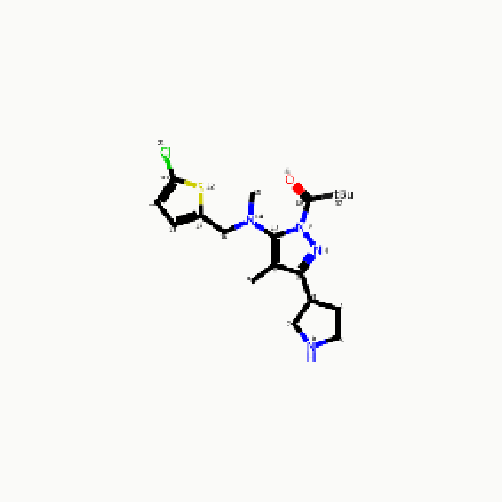 Cc1c(C2CCNC2)nn(C(=O)C(C)(C)C)c1N(C)Cc1ccc(Cl)s1